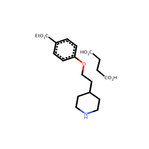 CCOC(=O)c1ccc(OCCC2CCNCC2)cc1.O=C(O)CCC(=O)O